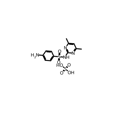 Cc1cc(C)nc(NS(=O)(=O)c2ccc(N)cc2)n1.O=S(=O)(O)O